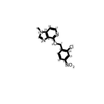 Cn1cnc2c(OCc3ccc([N+](=O)[O-])cc3Cl)nccc21